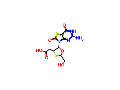 Nc1nc2c(sc(=O)n2C2OC(CO)SC2CC(=O)O)c(=O)[nH]1